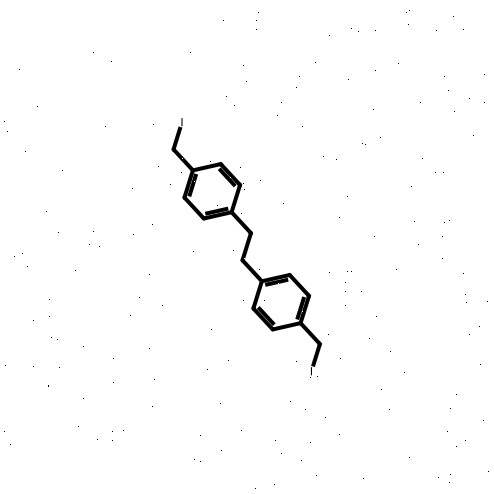 ICc1ccc(CCc2ccc(CI)cc2)cc1